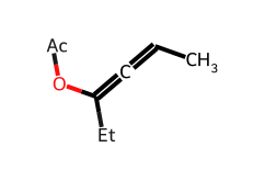 CC=C=C(CC)OC(C)=O